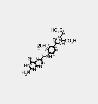 Nc1nc2ncc(CNc3ccc(C(=O)NC(CCC(=O)O)C(=O)O)cc3)nc2c(=O)[nH]1.[PbH2]